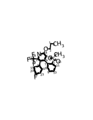 CCCOc1cc(-c2ccccc2S(C)(=O)=O)c(-c2ccc(F)cc2)c(C(F)(F)F)n1